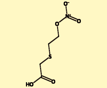 O=C(O)CSCCO[N+](=O)[O-]